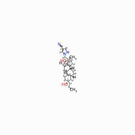 CCC[C@@]1(O)CC[C@@H]2C3CC[C@@]4(C)C(CC[C@]4(O)[C@@H](C)Cn4cc(C#N)cn4)[C@@H]3CC[C@@H]2C1